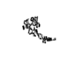 CC(C)(C)OC(=O)N1CCN(c2nc(C3=C(c4c[nH]c5ccsc45)C(=O)NC3=O)c3ccccc3n2)CC1